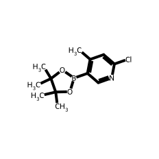 Cc1cc(Cl)ncc1B1OC(C)(C)C(C)(C)O1